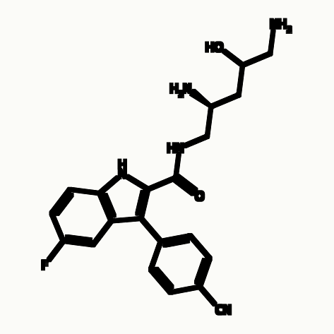 N#Cc1ccc(-c2c(C(=O)NC[C@@H](N)CC(O)CN)[nH]c3ccc(F)cc23)cc1